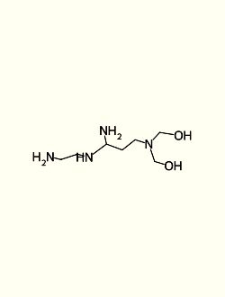 NCCNC(N)CCN(CO)CO